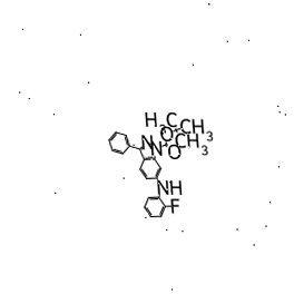 CC(C)(C)OC(=O)n1nc(-c2ccccc2)c2ccc(Nc3ccccc3F)cc21